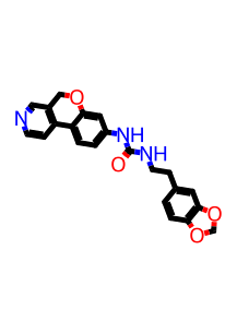 O=C(NCCc1ccc2c(c1)OCO2)Nc1ccc2c(c1)OCc1cnccc1-2